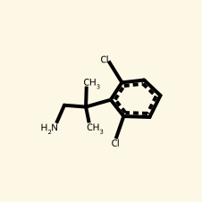 CC(C)(CN)c1c(Cl)cccc1Cl